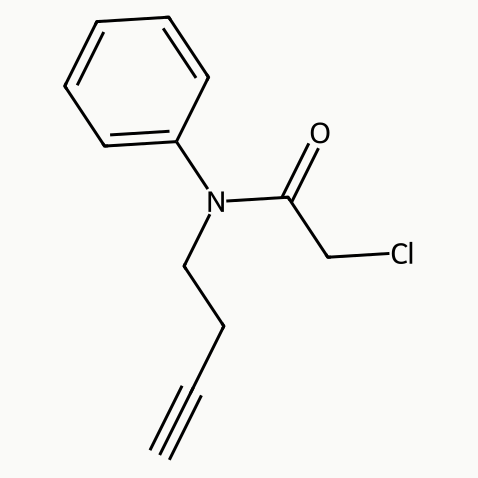 C#CCCN(C(=O)CCl)c1ccccc1